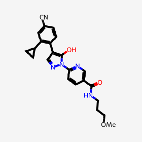 COCCCNC(=O)c1ccc(-n2ncc(-c3ccc(C#N)cc3C3CC3)c2O)nc1